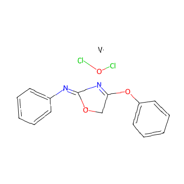 ClOCl.[V].c1ccc(N=C2N=C(Oc3ccccc3)CO2)cc1